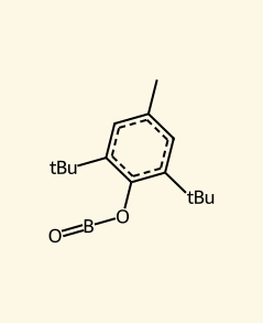 Cc1cc(C(C)(C)C)c(OB=O)c(C(C)(C)C)c1